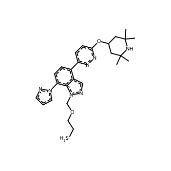 CC1(C)CC(Oc2ccc(-c3ccc(-n4cccn4)c4c3cnn4COCC[SiH3])nn2)CC(C)(C)N1